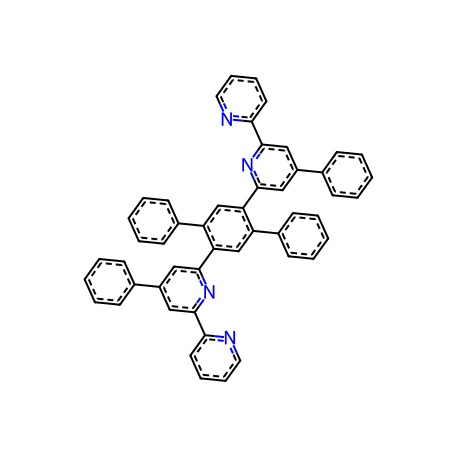 c1ccc(-c2cc(-c3ccccn3)nc(-c3cc(-c4ccccc4)c(-c4cc(-c5ccccc5)cc(-c5ccccn5)n4)cc3-c3ccccc3)c2)cc1